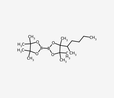 CCCCC(C)C1(C)OB(B2OC(C)(C)C(C)(C)O2)OC1(C)C